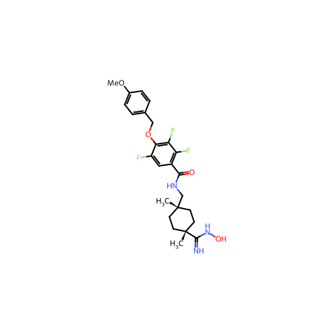 COc1ccc(COc2c(F)cc(C(=O)NC[C@]3(C)CC[C@](C)(C(=N)NO)CC3)c(F)c2F)cc1